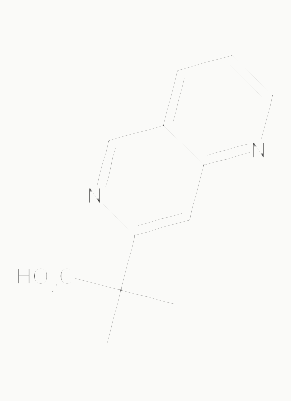 CC(C)(C(=O)O)c1cc2ncccc2cn1